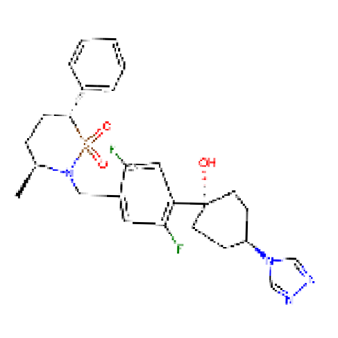 C[C@H]1CC[C@H](c2ccccc2)S(=O)(=O)N1Cc1cc(F)c([C@]2(O)CC[C@H](n3cnnc3)CC2)cc1F